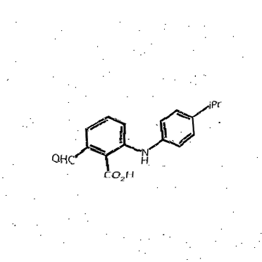 CC(C)c1ccc(Nc2cccc(C=O)c2C(=O)O)cc1